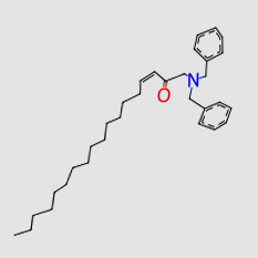 CCCCCCCCCCCCCC/C=C\C(=O)CN(Cc1ccccc1)Cc1ccccc1